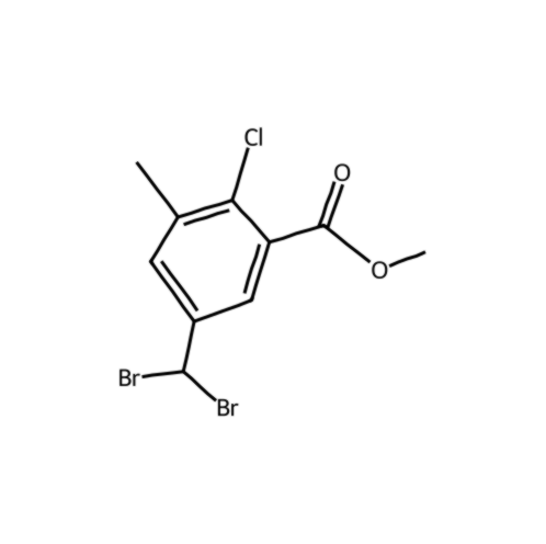 COC(=O)c1cc(C(Br)Br)cc(C)c1Cl